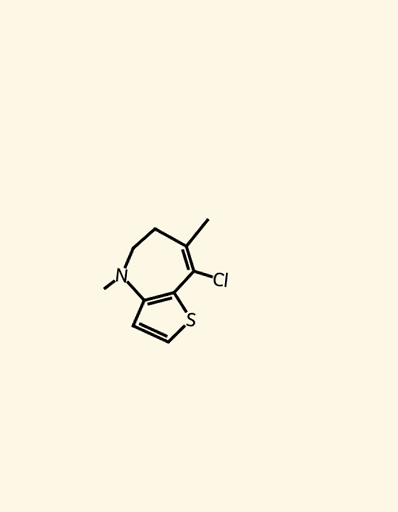 CC1=C(Cl)c2sccc2N(C)CC1